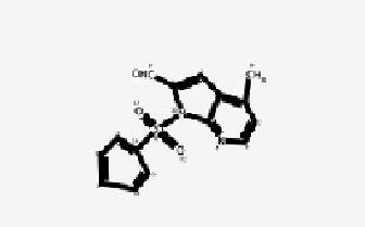 Cc1ccnc2c1cc(C=O)n2S(=O)(=O)c1ccccc1